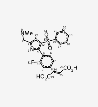 CNCc1nc(-c2ccccc2F)c(S(=O)(=O)c2cccnc2)s1.O=C(O)C=CC(=O)O